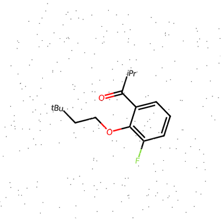 CC(C)C(=O)c1cccc(F)c1OCCC(C)(C)C